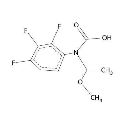 COC(C)N(C(=O)O)c1ccc(F)c(F)c1F